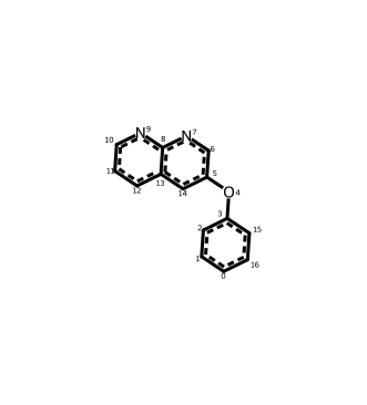 c1ccc(Oc2cnc3ncccc3c2)cc1